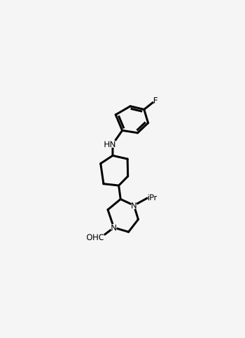 CC(C)N1CCN(C=O)CC1C1CCC(Nc2ccc(F)cc2)CC1